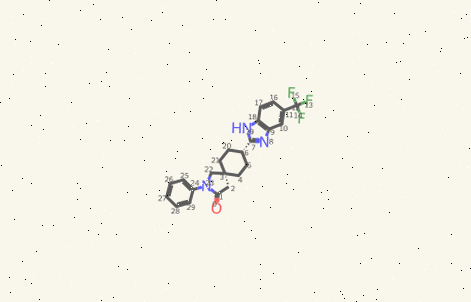 O=C1C[C@]2(CC[C@@H](c3nc4cc(C(F)(F)F)ccc4[nH]3)CC2)CN1c1ccccc1